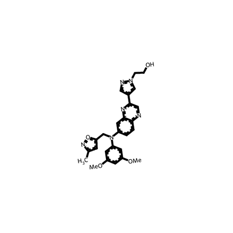 COc1cc(OC)cc(N(Cc2cc(C)no2)c2ccc3ncc(-c4cnn(CCO)c4)nc3c2)c1